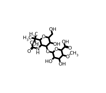 COC1C(C(=O)O)OC(OC2C(O)C(CO)OC(C(C)(C)C)C2NC(C)=O)C(O)C1O